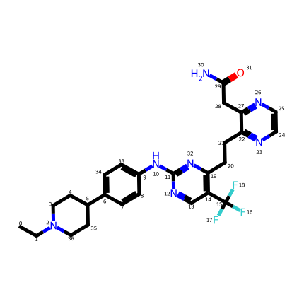 CCN1CCC(c2ccc(Nc3ncc(C(F)(F)F)c(CCc4nccnc4CC(N)=O)n3)cc2)CC1